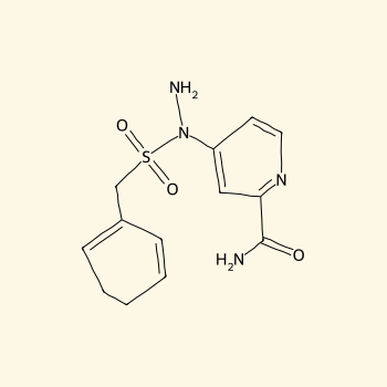 NC(=O)c1cc(N(N)S(=O)(=O)CC2=CCCC=C2)ccn1